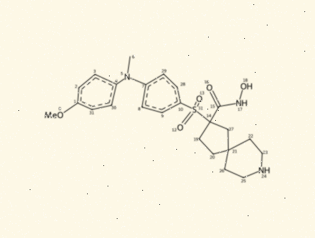 COc1ccc(N(C)c2ccc(S(=O)(=O)C3(C(=O)NO)CCC4(CCNCC4)C3)cc2)cc1